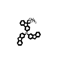 CCC1(CC)c2ccccc2-c2cc(N(c3ccc4c(c3)-c3ccccc3C4)c3ccc4c(c3)-c3ccccc3C4)ccc21